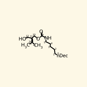 CCCCCCCCCCCCCCCNC(=O)OCC(CO)=C(C)C